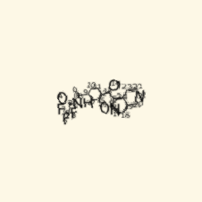 C[C@@H](NC(=O)C(F)(F)F)c1ccc(C(=O)c2cccc3cnccc23)c(O)c1